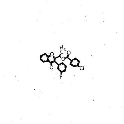 CC(OC(=O)c1ccc(Cl)cc1)c1oc2ccccc2c(=O)c1-c1cccc(F)c1